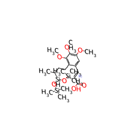 COc1cc(/C=C/C(=O)O)c(CCC(C)[SiH](O[Si](C)(C)C)O[Si](C)(C)C)c(OC)c1OC